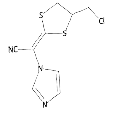 N#CC(=C1SCC(CCl)S1)n1ccnc1